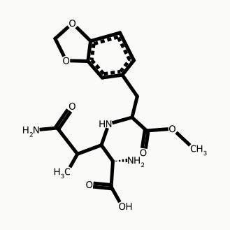 COC(=O)C(Cc1ccc2c(c1)OCO2)NC(C(C)C(N)=O)[C@H](N)C(=O)O